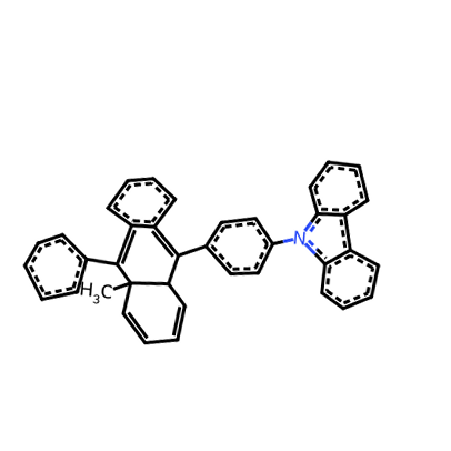 CC12C=CC=CC1C(c1ccc(-n3c4ccccc4c4ccccc43)cc1)=c1ccccc1=C2c1ccccc1